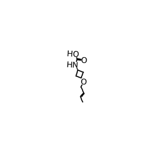 CC=CCO[C@H]1C[C@@H](NC(=O)O)C1